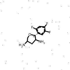 NC1CO[C@H](c2cc(F)c(F)cc2F)C(N)C1